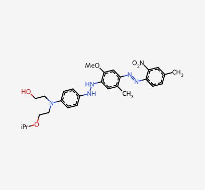 COc1cc(/N=N/c2ccc(C)cc2[N+](=O)[O-])c(C)cc1NNc1ccc(N(CCO)CCOC(C)C)cc1